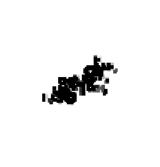 COc1cc2c(cc1Nc1ncc(Cl)c(Nc3ccccc3S(=O)(=O)C(C)C)n1)CCC1NC(N)=NC21C